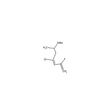 C=C(F)/C=C(/Cl)CC(C)OC